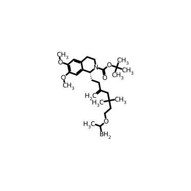 BC(C)OCCC(C)(C)CC(=C)CC[C@@H]1c2cc(OC)c(OC)cc2CCN1C(=O)OC(C)(C)C